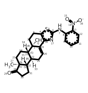 C[C@]12CCc3sc(Nc4ccccc4[N+](=O)[O-])nc3C1=CC[C@@H]1[C@@H]2CC[C@]2(C)C(=O)CC[C@@H]12